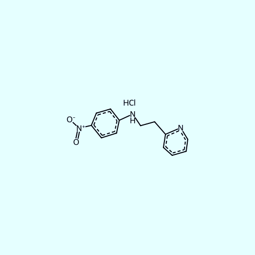 Cl.O=[N+]([O-])c1ccc(NCCc2ccccn2)cc1